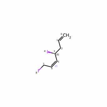 C=CC[C@H](I)/C=C\CI